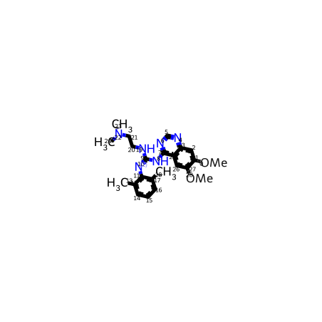 COc1cc2ncnc(N/C(=N\c3c(C)cccc3C)NCCN(C)C)c2cc1OC